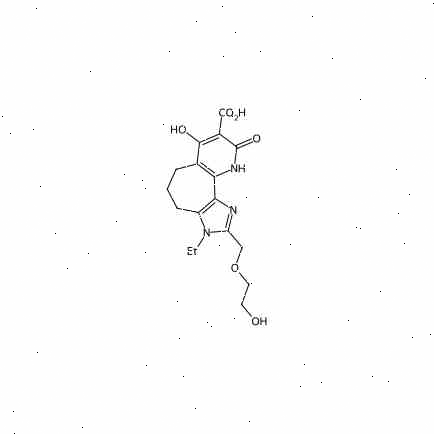 CCn1c(COCCO)nc2c1CCCc1c-2[nH]c(=O)c(C(=O)O)c1O